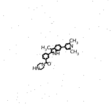 Cc1cc(-c2ccc3c(C)c(-c4cccc(C(=O)N5CCNCC5)c4)[nH]c3c2)cc(C)n1